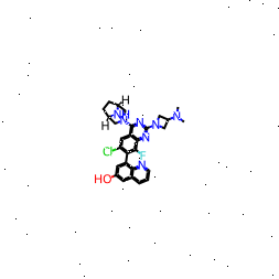 CN(C)C1CN(c2nc(N3C[C@H]4CC[C@@H](C3)N4)c3cc(Cl)c(-c4cc(O)cc5cccnc45)c(F)c3n2)C1